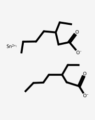 CCCCC(CC)CC(=O)[O-].CCCCC(CC)CC(=O)[O-].[Sn+2]